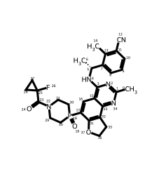 Cc1nc(N[C@H](C)c2cccc(C#N)c2C)c2cc(P3(=O)CCN(C(=O)C4(F)CC4)CC3)c3c(c2n1)CCO3